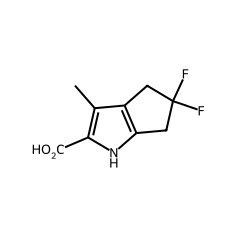 Cc1c(C(=O)O)[nH]c2c1CC(F)(F)C2